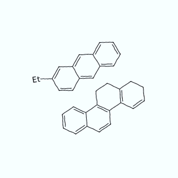 C1=CC2=C(CC1)CCc1c2ccc2ccccc12.CCc1ccc2cc3ccccc3cc2c1